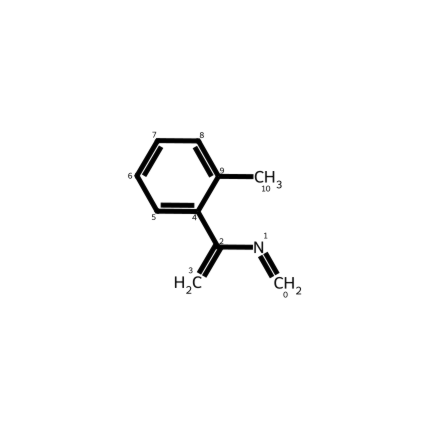 C=NC(=C)c1ccccc1C